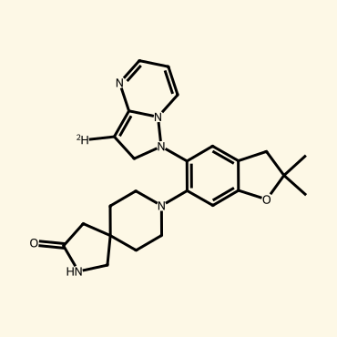 [2H]C1=C2N=CC=CN2N(c2cc3c(cc2N2CCC4(CC2)CNC(=O)C4)OC(C)(C)C3)C1